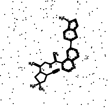 C=C(NCC(=C)N1CC(C)(C)CC1C#N)c1ccnc2ccc(-c3ccc4c(ccn4C)c3)cc12